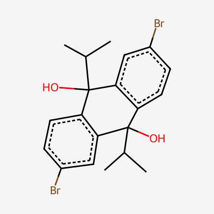 CC(C)C1(O)c2ccc(Br)cc2C(O)(C(C)C)c2ccc(Br)cc21